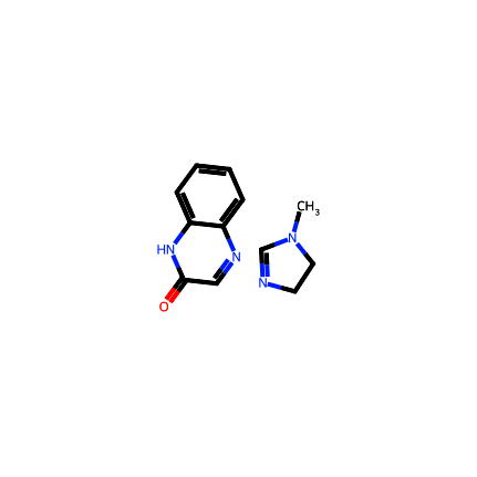 CN1C=NCC1.O=c1cnc2ccccc2[nH]1